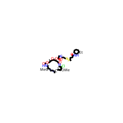 CCC1CCCCC(NC(=O)CCC(C)SSCCC(=O)N(C)CC(=O)O[C@H]2CC(=O)N(C)c3cc(cc(OC)c3Cl)C/C(C)=C/C=C/[C@@H](OC)C3CC(OC(=O)N3)[C@@H](C)C3O[C@]32C)C1